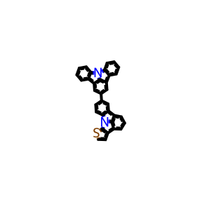 c1ccc2c(c1)c1cc(-c3ccc4c(c3)c3cccc5c6ccsc6n4c35)cc3c4ccccc4n2c13